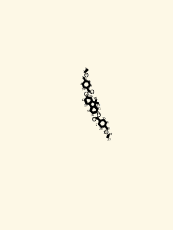 C=COCC1CCC(C(=O)Oc2ccc3c(c2)C(C)(C)c2cc(OC(=O)C4CCC(COC=C)CC4)ccc2-3)CC1